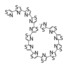 [c]1csc(-c2csc(-c3csc(-c4csc(-c5csc(-c6csc(-c7csc(-c8csc(-c9csc(-c%10csc(-c%11csc(-c%12csc(-c%13csc(-c%14cscn%14)n%13)n%12)n%11)n%10)n9)n8)n7)n6)n5)n4)n3)n2)n1